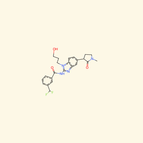 CN1CCC(c2ccc3c(c2)nc(NC(=O)c2cccc(C(F)F)c2)n3CCCO)C1=O